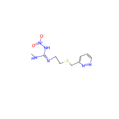 CNC(=NCCSCc1cccnn1)N[N+](=O)[O-]